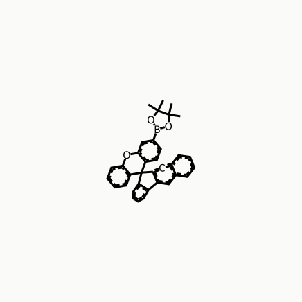 CC1(C)OB(c2ccc3c(c2)Oc2ccccc2C32c3ccccc3-c3cc4ccccc4cc32)OC1(C)C